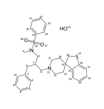 CN(CC(Cc1ccccc1)CN1CCC2(CC1)CSc1ccccc12)S(=O)(=O)c1ccccc1.Cl